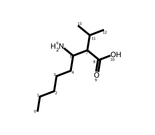 CCCCCC(N)C(C(=O)O)C(C)C